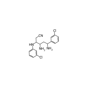 N#CCC(Nc1cccc(Cl)c1)C(N)CC(N)c1cccc(Cl)c1